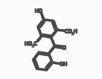 O=C(O)c1cc(O)cc(C(=O)O)c1C(=O)c1ccccc1O